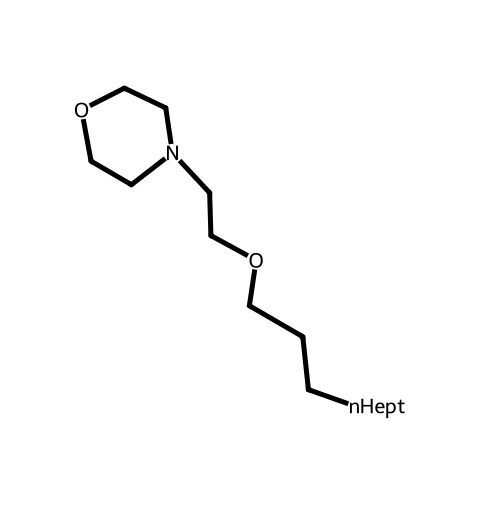 CCCCCCCCCCOCCN1CCOCC1